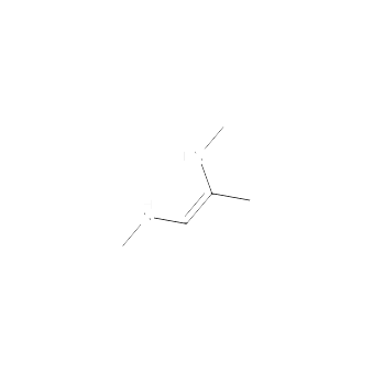 CNC=C(C)NC